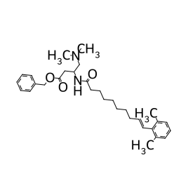 Cc1cccc(C)c1C=CCCCCCCCC(=O)NC(CC(=O)OCc1ccccc1)CN(C)C